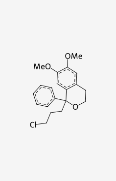 COc1cc2c(cc1OC)C(CCCCl)(c1ccccc1)OCC2